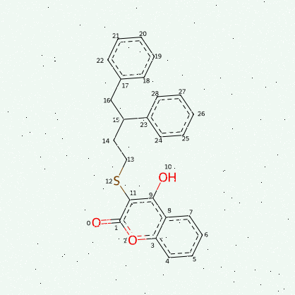 O=c1oc2ccccc2c(O)c1SCCC(Cc1ccccc1)c1ccccc1